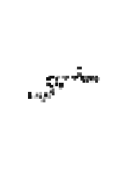 CCOC(=O)Nc1cccc(CCCCC(=O)OC)c1F